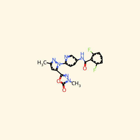 Cc1cc(-c2nn(C)c(=O)o2)n(-c2ccc(NC(=O)c3c(F)cccc3F)cn2)n1